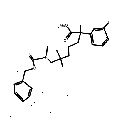 COC(=O)C(C)(CCCC(C)(C)CN(C)C(=O)OCc1ccccc1)c1cccc(I)c1